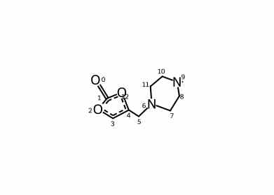 O=c1occ(CN2CC[N]CC2)o1